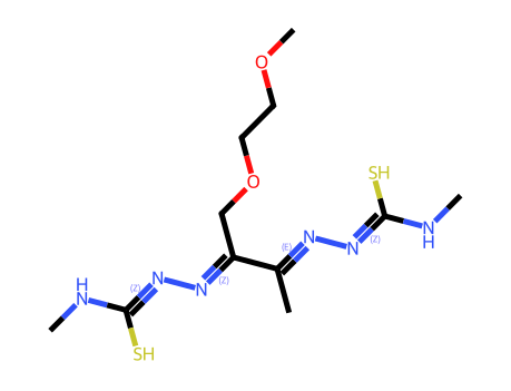 CN/C(S)=N/N=C(COCCOC)/C(C)=N/N=C(\S)NC